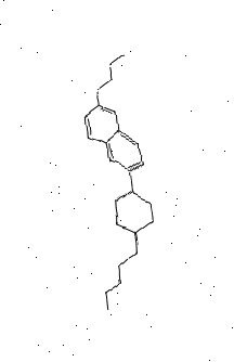 CCCCCC1CCC(c2ccc3cc(CCCC)ccc3c2)CC1